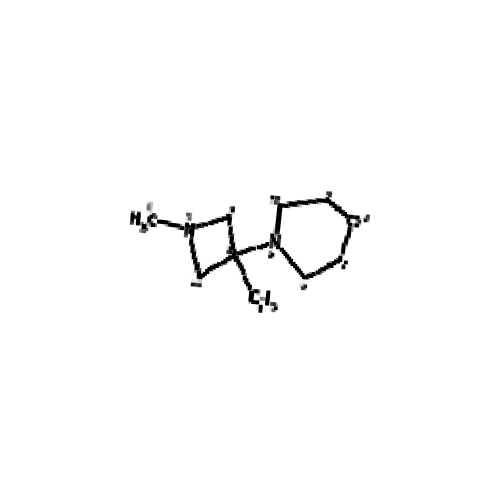 CN1CC(C)(N2CCOCC2)C1